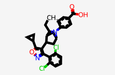 CCC1C2CC(CC2c2c(-c3c(Cl)cccc3Cl)noc2C2CC2)N1c1ccc(C(=O)O)cc1